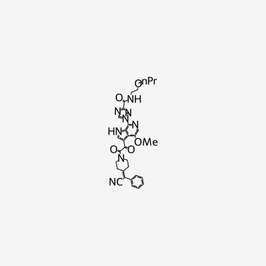 CCCOCCNC(=O)c1ncn(-c2ncc(OC)c3c(C(=O)C(=O)N4CCC(=C(C#N)c5ccccc5)CC4)c[nH]c23)n1